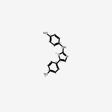 Oc1ccc(Nc2ncc(-c3ccc(O)cc3)o2)cc1